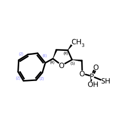 C[C@@H]1C[C@H](C2=C/C=C\C=C/C=C\2)O[C@@H]1COP(=O)(O)S